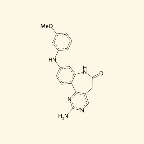 COc1cccc(Nc2ccc3c(c2)NC(=O)Cc2cnc(N)nc2-3)c1